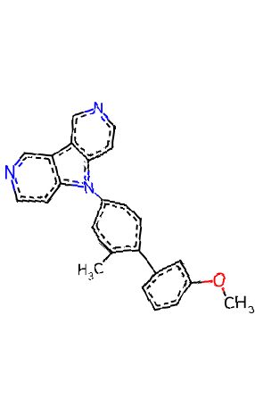 COc1cccc(-c2ccc(-n3c4ccncc4c4cnccc43)cc2C)c1